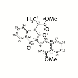 COC(=O)C(C)Cc1oc2c(cc(OC)c3ccccc32)c1C(=O)c1ccccc1